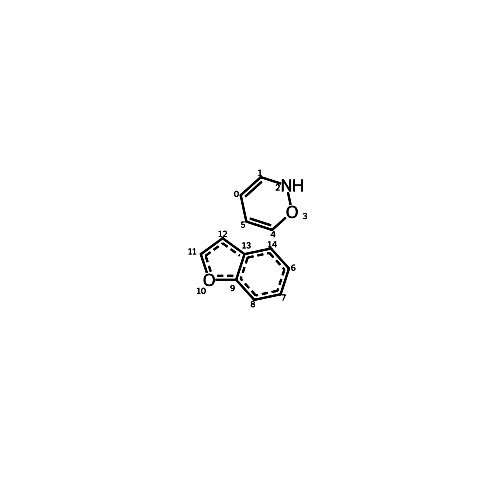 C1=CNOC=C1.c1ccc2occc2c1